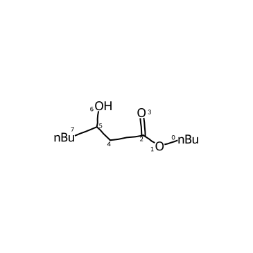 CCCCOC(=O)CC(O)CCCC